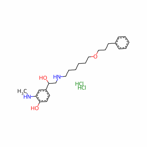 CNc1cc(C(O)CNCCCCCCOCCCc2ccccc2)ccc1O.Cl.Cl